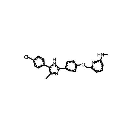 CNc1cccc(COc2ccc(-c3nc(C)c(-c4ccc(Cl)cc4)[nH]3)cc2)n1